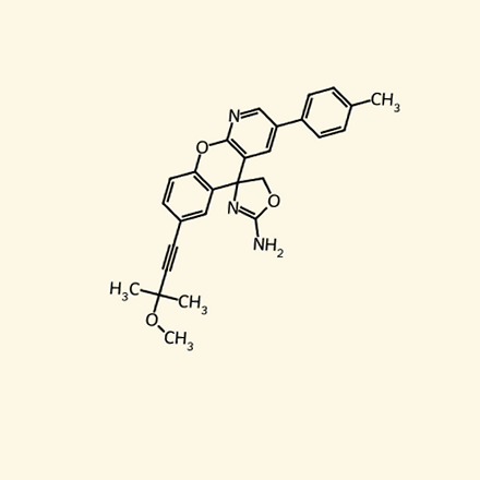 COC(C)(C)C#Cc1ccc2c(c1)C1(COC(N)=N1)c1cc(-c3ccc(C)cc3)cnc1O2